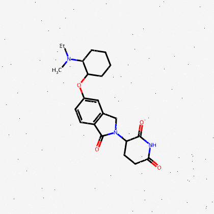 CCN(C)C1CCCCC1Oc1ccc2c(c1)CN(C1CCC(=O)NC1=O)C2=O